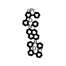 CCCc1ccccc1-c1cccc2c1oc1c(N(c3ccccc3)c3ccc4ccc5c(N(c6ccccc6)c6cccc7c6oc6c(-c8ccccc8C(C)C)cccc67)ccc6ccc3c4c65)cccc12